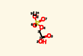 O=C(O)COS(=O)(=O)[O-].[Li+]